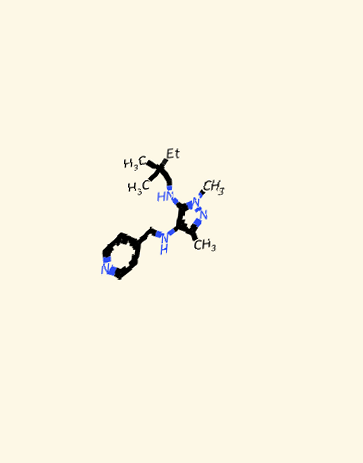 CCC(C)(C)CNc1c(NCc2ccncc2)c(C)nn1C